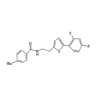 CC(C)(C)c1ccc(C(=O)NCCc2ccc(-c3ccc(F)cc3F)s2)cc1